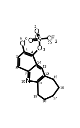 O=S(=O)(Oc1c(Cl)ccc2nc3c(cc12)CCCCC3)C(F)(F)F